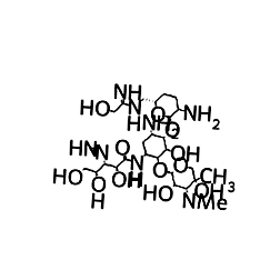 CN[C@@H]1C(O)[C@@H](OC2C(O)C(O[C@H]3O[C@H](CNC(=N)CO)CCC3N)[C@@H](N)C[C@H]2NC(=O)[C@@H](O)[C@@H](N=N)[C@@H](O)CO)OCC1(C)O